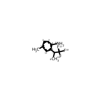 Cc1ccc(N)c(C(C)C(F)(F)F)c1